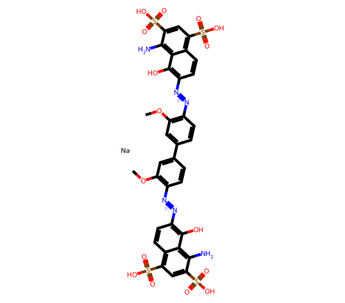 COc1cc(-c2ccc(/N=N/c3ccc4c(S(=O)(=O)O)cc(S(=O)(=O)O)c(N)c4c3O)c(OC)c2)ccc1/N=N/c1ccc2c(S(=O)(=O)O)cc(S(=O)(=O)O)c(N)c2c1O.[Na]